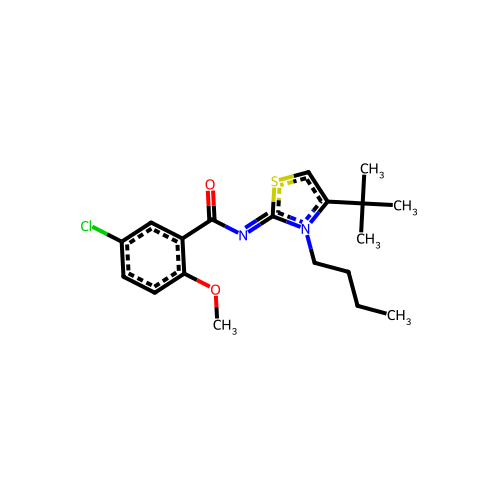 CCCCn1c(C(C)(C)C)csc1=NC(=O)c1cc(Cl)ccc1OC